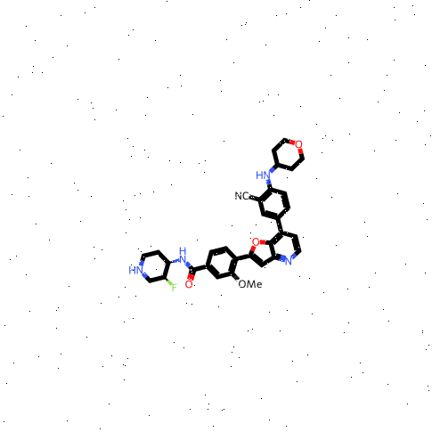 COc1cc(C(=O)N[C@@H]2CCNC[C@@H]2F)ccc1-c1cc2nccc(-c3ccc(NC4CCOCC4)c(C#N)c3)c2o1